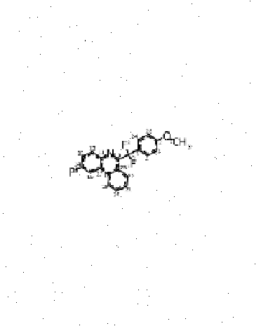 COc1ccc(C(F)(F)c2nc3ccc(F)cc3c3ccccc23)cc1